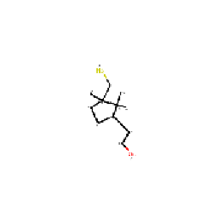 CC1(CS)CCC(CCO)C1(C)C